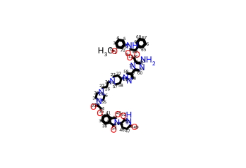 COc1cccc(NC(=O)[C@H](OC(=O)c2nc(-c3cnn(C4CCN(CCCN5CCN(C(=O)COc6ccc7c(c6)C(=O)N(C6CCC(=O)NC6=O)C7=O)CC5)CC4)c3)cnc2N)c2ccccc2)c1